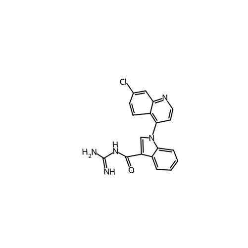 N=C(N)NC(=O)c1cn(-c2ccnc3cc(Cl)ccc23)c2ccccc12